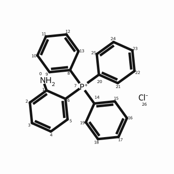 Nc1ccccc1[P+](c1ccccc1)(c1ccccc1)c1ccccc1.[Cl-]